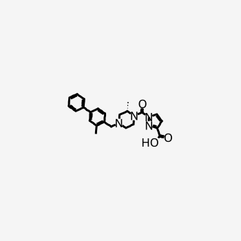 Cc1cc(-c2ccccc2)ccc1CN1CCN(C(=O)n2ccc(C(=O)O)n2)[C@@H](C)C1